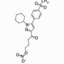 CS(=O)(=O)c1ccc(-c2cc(C(=O)CCCO[N+](=O)[O-])nn2C2CCCCC2)cc1